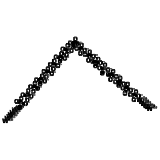 O=P([O-])([O-])[O-].O=P([O-])([O-])[O-].O=P([O-])([O-])[O-].O=P([O-])([O-])[O-].O=P([O-])([O-])[O-].O=P([O-])([O-])[O-].O=P([O-])([O-])[O-].O=P([O-])([O-])[O-].O=P([O-])([O-])[O-].O=P([O-])([O-])[O-].O=P([O-])([O-])[O-].O=P([O-])([O-])[O-].O=P([O-])([O-])[O-].O=P([O-])([O-])[O-].O=P([O-])([O-])[O-].O=P([O-])([O-])[O-].O=P([O-])([O-])[O-].[Al+3].[W+4].[W+4].[W+4].[W+4].[W+4].[W+4].[W+4].[W+4].[W+4].[W+4].[W+4].[W+4]